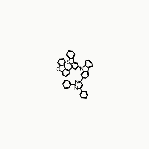 c1ccc(-c2cc(-c3ccc4c5ccccc5n(-c5cc(-c6cccc7oc8ccccc8c67)c6sc7ccccc7c6c5)c4c3)nc(-c3ccccc3)n2)cc1